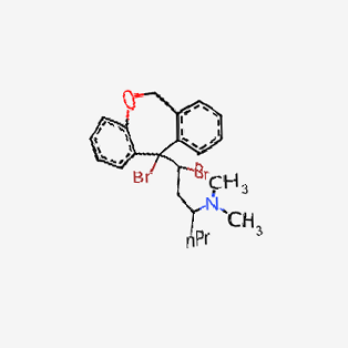 CCCC(CC(Br)C1(Br)c2ccccc2COc2ccccc21)N(C)C